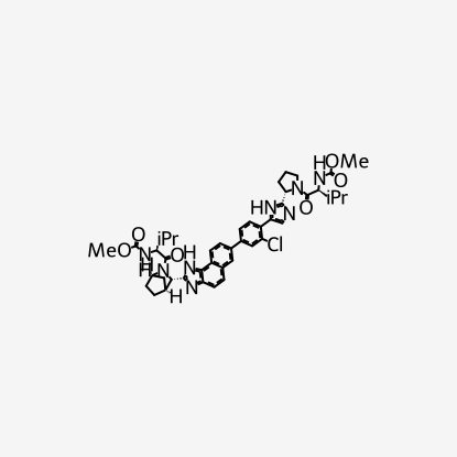 COC(=O)N[C@H](C(=O)N1CCC[C@H]1c1ncc(-c2ccc(-c3ccc4c(ccc5nc([C@@H]6[C@H]7CC[C@H](C7)N6C(=O)[C@@H](NC(=O)OC)C(C)C)[nH]c54)c3)cc2Cl)[nH]1)C(C)C